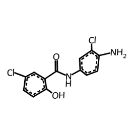 Nc1ccc(NC(=O)c2cc(Cl)ccc2O)cc1Cl